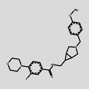 CC(C)(C)Oc1ccc(CN2CC3C(CNC(=O)c4ccc(N5CCOCC5)c(F)c4)C3C2)cc1